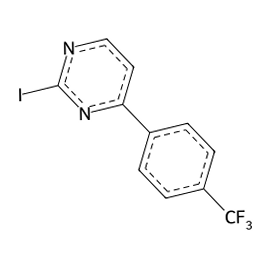 FC(F)(F)c1ccc(-c2ccnc(I)n2)cc1